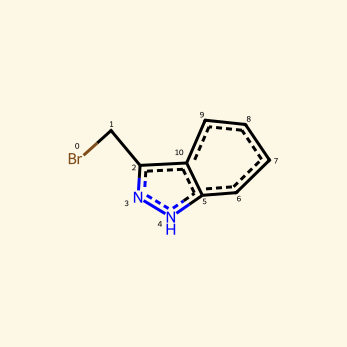 BrCc1n[nH]c2ccccc12